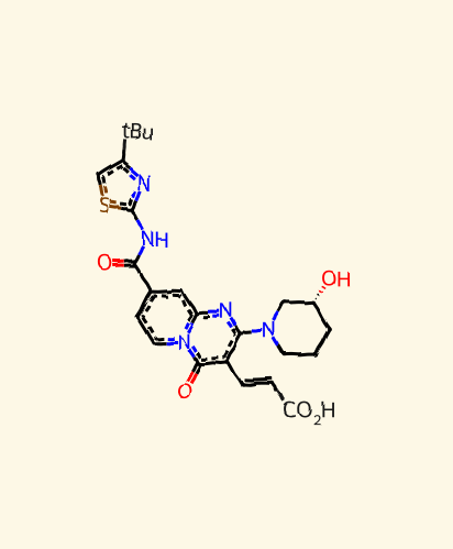 CC(C)(C)c1csc(NC(=O)c2ccn3c(=O)c(/C=C/C(=O)O)c(N4CCC[C@@H](O)C4)nc3c2)n1